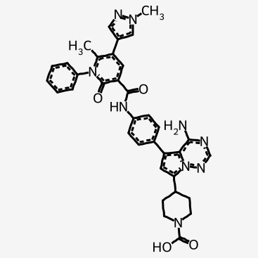 Cc1c(-c2cnn(C)c2)cc(C(=O)Nc2ccc(-c3cc(C4CCN(C(=O)O)CC4)n4ncnc(N)c34)cc2)c(=O)n1-c1ccccc1